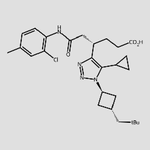 Cc1ccc(NC(=O)C[C@H](CCC(=O)O)c2nnn([C@H]3C[C@H](CC(C)(C)C)C3)c2C2CC2)c(Cl)c1